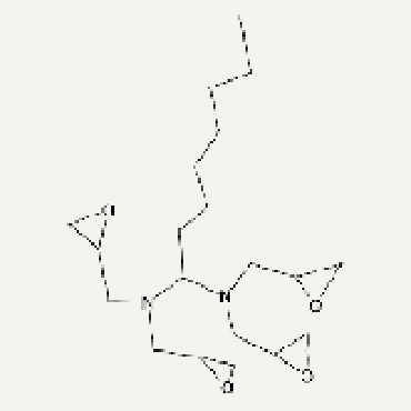 CCCCCCCC(N(CC1CO1)CC1CO1)N(CC1CO1)CC1CO1